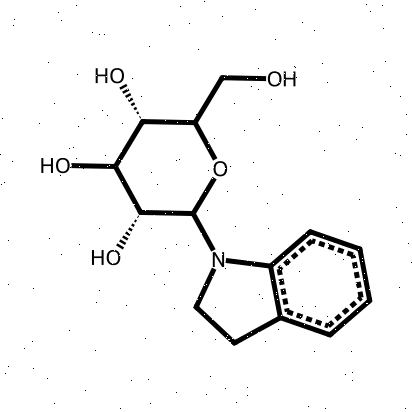 OCC1OC(N2CCc3ccccc32)[C@H](O)C(O)[C@@H]1O